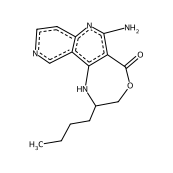 CCCCC1COC(=O)c2c(N)nc3ccncc3c2N1